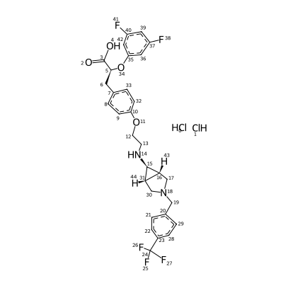 Cl.Cl.O=C(O)[C@H](Cc1ccc(OCCN[C@H]2[C@@H]3CN(Cc4ccc(C(F)(F)F)cc4)C[C@@H]32)cc1)Oc1cc(F)cc(F)c1